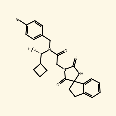 C[C@@H](C1CCC1)N(Cc1ccc(Br)cc1)C(=O)CN1C(=O)NC2(CCc3ccccc32)C1=O